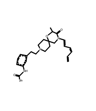 C=C/C=C\C=C\N1CC2(CCN(CCc3cccc(NC(=O)C(C)C)c3)CC2)OC(C)C1=O